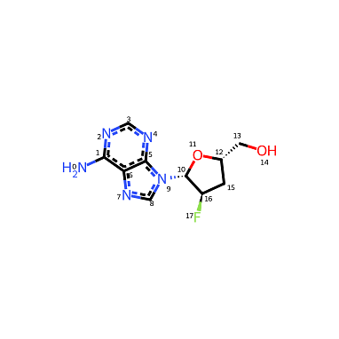 Nc1ncnc2c1ncn2[C@@H]1O[C@H](CO)C[C@H]1F